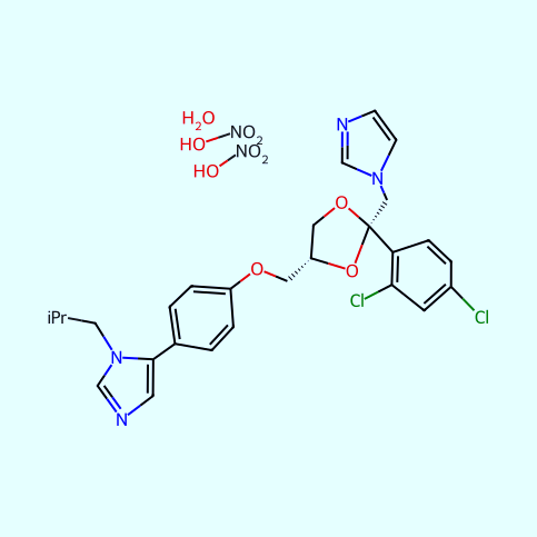 CC(C)Cn1cncc1-c1ccc(OC[C@@H]2CO[C@@](Cn3ccnc3)(c3ccc(Cl)cc3Cl)O2)cc1.O.O=[N+]([O-])O.O=[N+]([O-])O